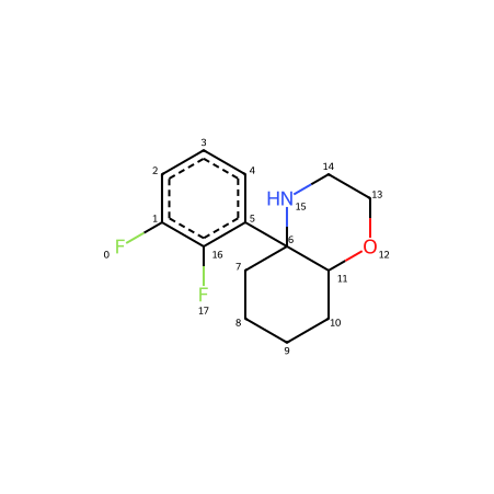 Fc1cccc(C23CCCCC2OCCN3)c1F